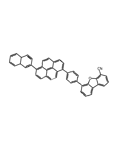 N#Cc1cccc2c1oc1c(-c3ccc(-c4ccc5ccc6c(C7=CC8C=CC=CC8C=C7)ccc7ccc4c5c76)cc3)cccc12